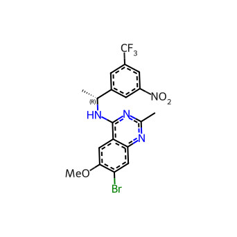 COc1cc2c(N[C@H](C)c3cc([N+](=O)[O-])cc(C(F)(F)F)c3)nc(C)nc2cc1Br